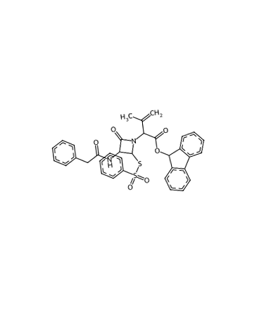 C=C(C)C(C(=O)OC1c2ccccc2-c2ccccc21)N1C(=O)C(NC(=O)Cc2ccccc2)C1SS(=O)(=O)c1ccccc1